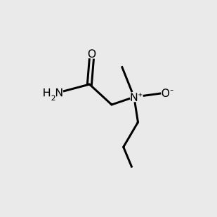 CCC[N+](C)([O-])CC(N)=O